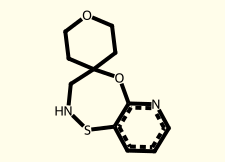 c1cnc2c(c1)SNCC1(CCOCC1)O2